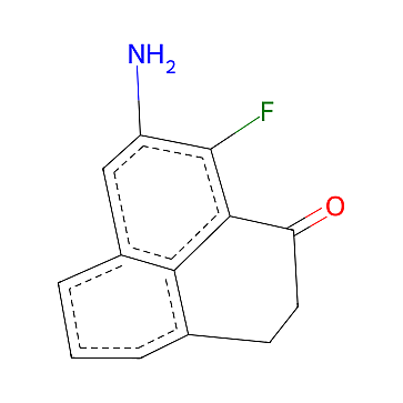 Nc1cc2cccc3c2c(c1F)C(=O)CC3